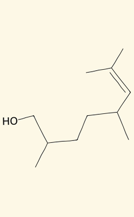 CC(C)=CC(C)CCC(C)CO